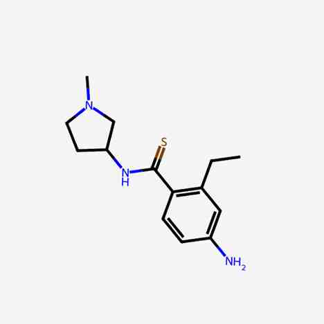 CCc1cc(N)ccc1C(=S)NC1CCN(C)C1